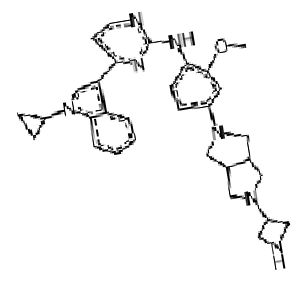 COc1cc(N2CC3CN(C4CNC4)CC3C2)ccc1Nc1nccc(-c2cn(C3CC3)c3ccccc23)n1